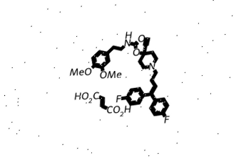 C#CC1(OC(=O)NCCc2ccc(OC)c(OC)c2)CCN(CCC=C(c2ccc(F)cc2)c2ccc(F)cc2)CC1.O=C(O)C=CC(=O)O